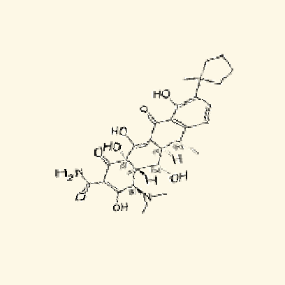 C[C@H]1c2ccc(C3(C)CCCC3)c(O)c2C(=O)C2=C(O)[C@]3(O)C(=O)C(C(N)=O)=C(O)[C@H](N(C)C)[C@H]3[C@@H](O)[C@@H]21